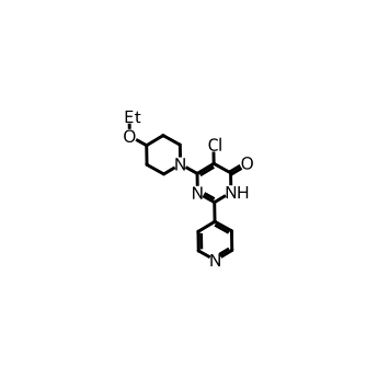 CCOC1CCN(c2nc(-c3ccncc3)[nH]c(=O)c2Cl)CC1